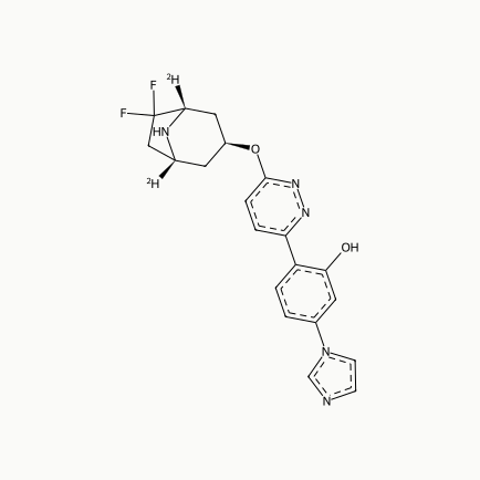 [2H][C@]12C[C@H](Oc3ccc(-c4ccc(-n5ccnc5)cc4O)nn3)C[C@]([2H])(N1)C(F)(F)C2